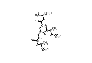 CC(CC(=O)OCC(COC(=O)CC(C)C(=O)O)OC(=O)C(C)CC(=O)O)C(=O)O